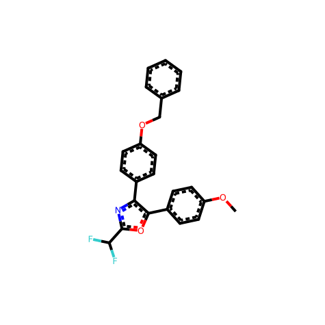 COc1ccc(-c2oc(C(F)F)nc2-c2ccc(OCc3ccccc3)cc2)cc1